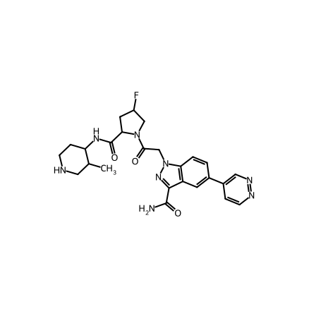 CC1CNCCC1NC(=O)C1CC(F)CN1C(=O)Cn1nc(C(N)=O)c2cc(-c3ccnnc3)ccc21